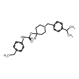 CCc1ccc(NC(=O)OC2(N)CCN(Cc3ccc(C(C)C)cc3)CC2)cc1